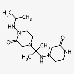 CC(C)NN1CCN(C(C)(C)NN2CCNC(=O)C2)CC1=O